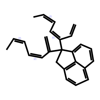 C=C/C(=C\C=C/C)C1(C(=C)/C=C\C=C/C)Cc2cccc3cccc1c23